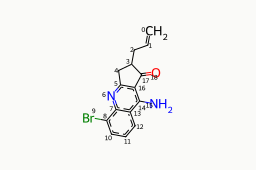 C=CCC1Cc2nc3c(Br)cccc3c(N)c2C1=O